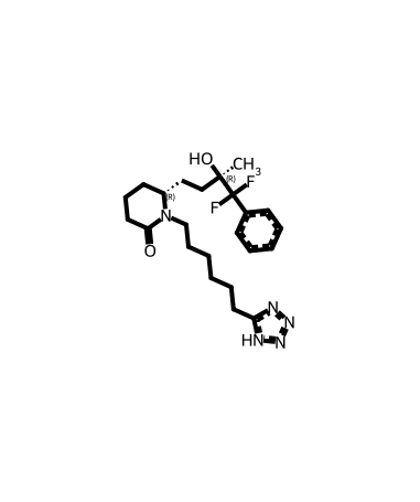 C[C@@](O)(CC[C@H]1CCCC(=O)N1CCCCCCc1nnn[nH]1)C(F)(F)c1ccccc1